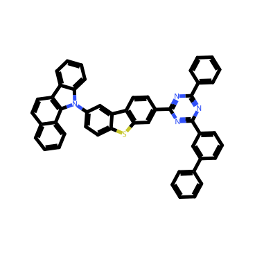 c1ccc(-c2cccc(-c3nc(-c4ccccc4)nc(-c4ccc5c(c4)sc4ccc(-n6c7ccccc7c7ccc8ccccc8c76)cc45)n3)c2)cc1